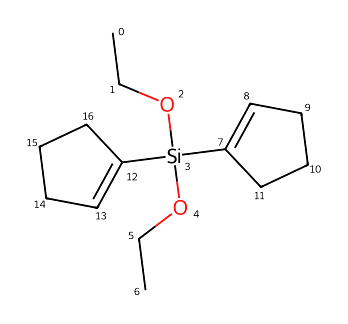 CCO[Si](OCC)(C1=CCCC1)C1=CCCC1